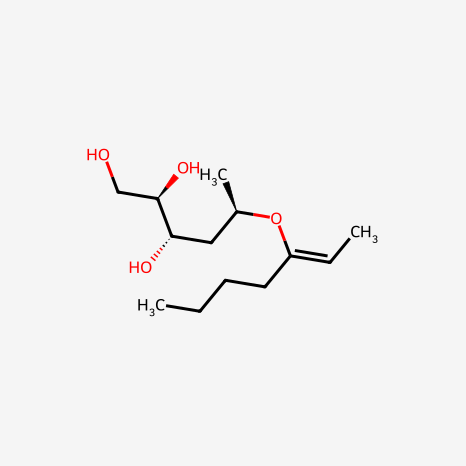 C/C=C(/CCCC)O[C@H](C)C[C@H](O)[C@H](O)CO